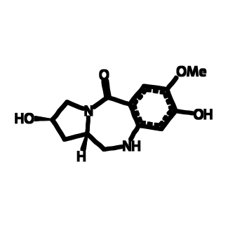 COc1cc2c(cc1O)NC[C@@H]1C[C@@H](O)CN1C2=O